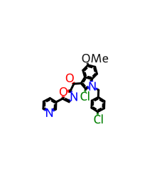 COc1ccc2c(c1)c(C(=O)c1ncc(-c3cccnc3)o1)c(Cl)n2Cc1ccc(Cl)cc1